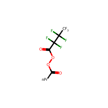 CCCC(=O)OOC(=O)C(F)(F)C(F)(F)C(F)(F)F